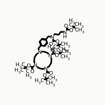 CC(C)(C)OC(=O)NCCCN(Cc1ccc(CN2CCCN(C(=O)OC(C)(C)C)CCN(C(=O)OC(C)(C)C)CCCN(C(=O)OC(C)(C)C)CC2)cc1)C(=O)OC(C)(C)C